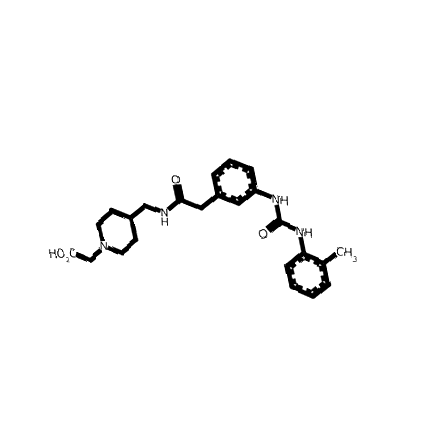 Cc1ccccc1NC(=O)Nc1cccc(CC(=O)NCC2CCN(CC(=O)O)CC2)c1